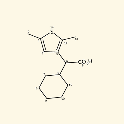 Cc1cc(C(C(=O)O)C2CCCCC2)c(C)s1